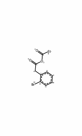 C[CH]C(=O)OC(=O)Cc1ccccc1Br